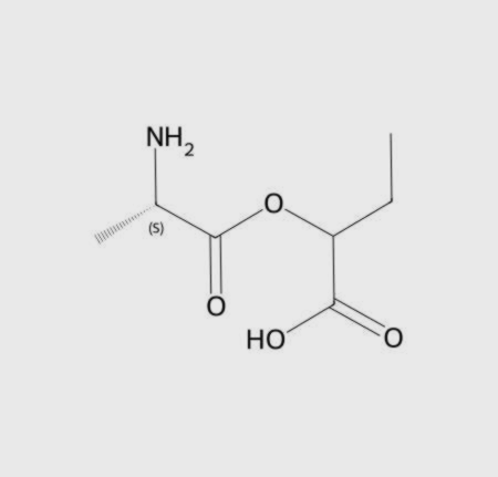 CCC(OC(=O)[C@H](C)N)C(=O)O